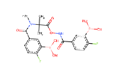 CCCN(C(=O)c1ccc(F)c(B(O)O)c1)C(C)(C)C(=O)ONC(=O)c1ccc(F)c(B(O)O)c1